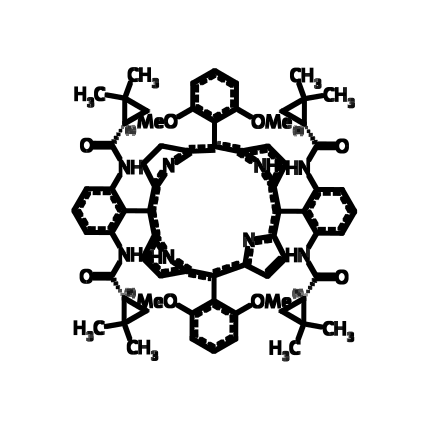 COc1cccc(OC)c1-c1c2nc(c(-c3c(NC(=O)[C@H]4CC4(C)C)cccc3NC(=O)[C@@H]3CC3(C)C)c3ccc([nH]3)c(-c3c(OC)cccc3OC)c3nc(c(-c4c(NC(=O)[C@H]5CC5(C)C)cccc4NC(=O)[C@@H]4CC4(C)C)c4ccc1[nH]4)CC3)C=C2